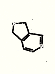 [c]1nccc2c1COC2